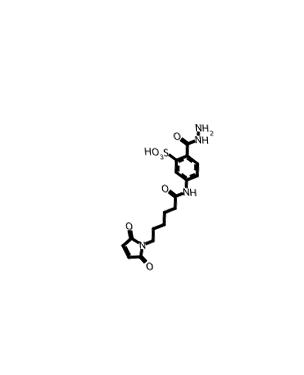 NNC(=O)c1ccc(NC(=O)CCCCCN2C(=O)C=CC2=O)cc1S(=O)(=O)O